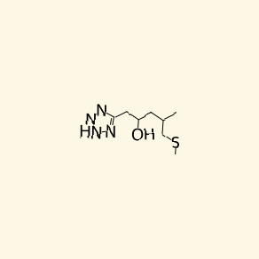 CSCC(C)CC(O)Cc1nn[nH]n1